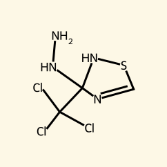 NNC1(C(Cl)(Cl)Cl)N=CSN1